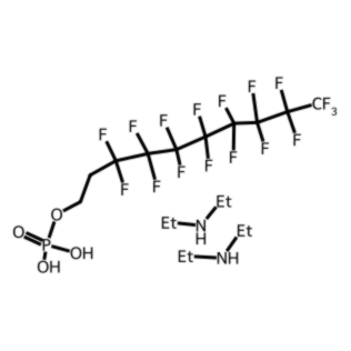 CCNCC.CCNCC.O=P(O)(O)OCCC(F)(F)C(F)(F)C(F)(F)C(F)(F)C(F)(F)C(F)(F)C(F)(F)C(F)(F)F